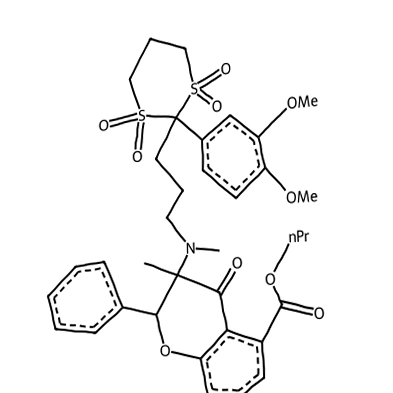 CCCOC(=O)c1cccc2c1C(=O)C(C)(N(C)CCCC1(c3ccc(OC)c(OC)c3)S(=O)(=O)CCCS1(=O)=O)C(c1ccccc1)O2